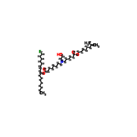 CCCCCCCCC(CCCCCCCCF)OC(=O)CCCCCCCN(CCO)CCCCCC(=O)OCCCCCCC(C)C